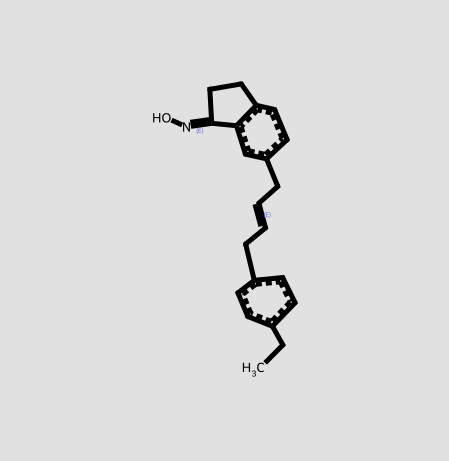 CCc1ccc(C/C=C/Cc2ccc3c(c2)/C(=N/O)CC3)cc1